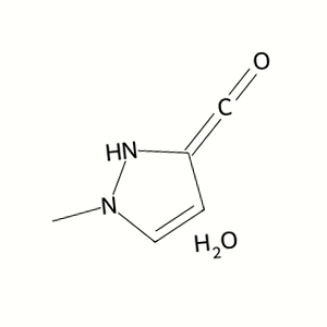 CN1C=CC(=C=O)N1.O